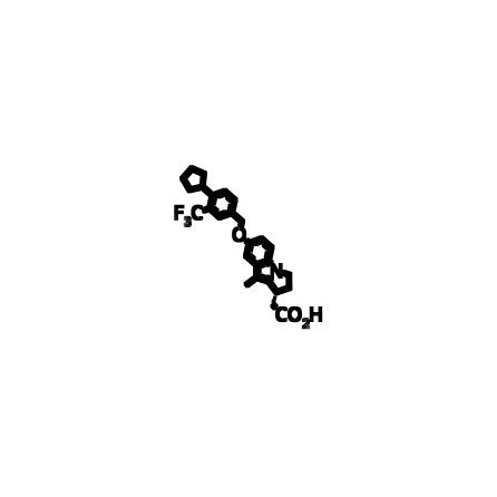 Cc1c2n(c3ccc(OCc4ccc(C5CCCC5)c(C(F)(F)F)c4)cc13)CC[C@@H]2CC(=O)O